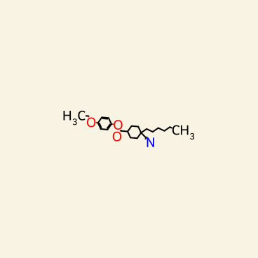 CCCCCCC1(C#N)CCC(C(=O)Oc2ccc(OCC)cc2)CC1